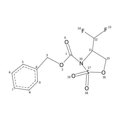 O=C(OCc1ccccc1)N1C(C(F)F)COS1(=O)=O